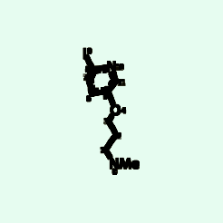 CNCCCOc1ccc(I)nc1